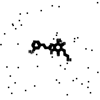 Cc1cncc(CCc2nc3c([nH]2)c(=O)n(CCCO)c(=O)n3C)c1